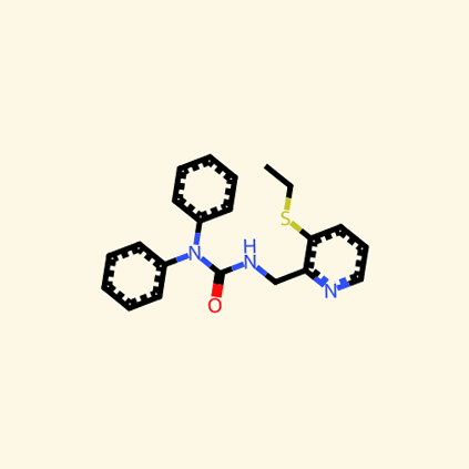 CCSc1cccnc1CNC(=O)N(c1ccccc1)c1ccccc1